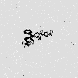 CC(=O)N1CCC(CC(=O)N2CCN(C(c3ccccc3)c3ccc(C(F)(F)F)nc3)C[C@@H]2C(C)(C)C)CC1